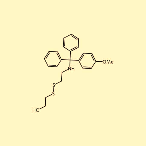 COc1ccc(C(NCCSSCCO)(c2ccccc2)c2ccccc2)cc1